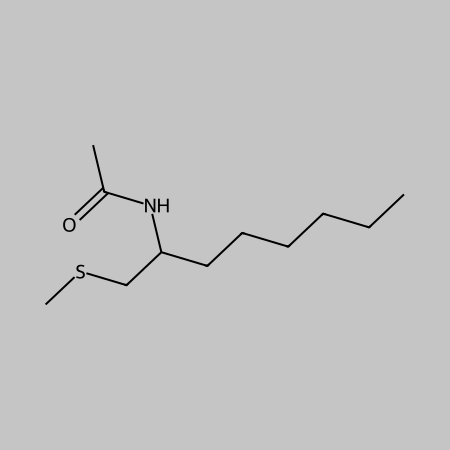 CCCCCCC(CSC)NC(C)=O